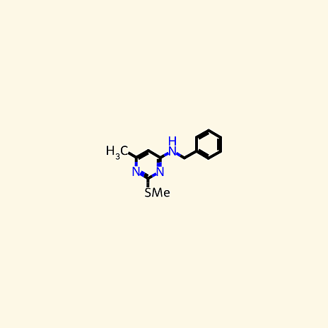 CSc1nc(C)cc(NCc2ccccc2)n1